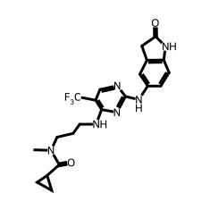 CN(CCCNc1nc(Nc2ccc3c(c2)CC(=O)N3)ncc1C(F)(F)F)C(=O)C1CC1